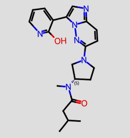 CC(C)CC(=O)N(C)[C@H]1CCN(c2ccc3ncc(-c4cccnc4O)n3n2)C1